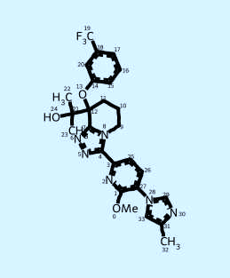 COc1nc(-c2nnc3n2CCCC3(Oc2cccc(C(F)(F)F)c2)C(C)(C)O)ccc1-n1cnc(C)c1